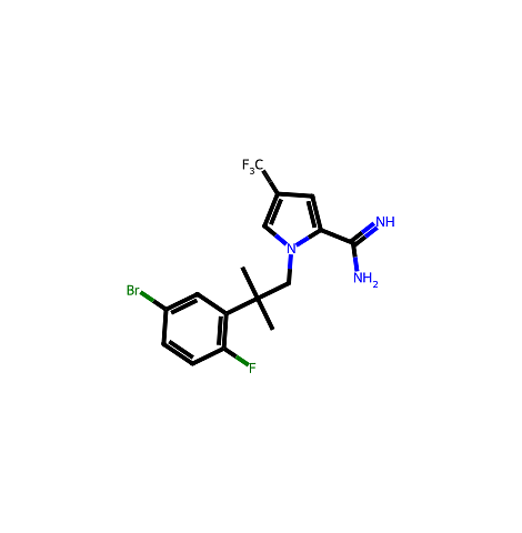 CC(C)(Cn1cc(C(F)(F)F)cc1C(=N)N)c1cc(Br)ccc1F